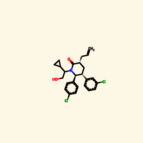 C=CC[C@@H]1C[C@H](c2cccc(Cl)c2)[C@@H](c2ccc(Cl)cc2)N(C(CO)C2CC2)C1=O